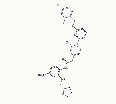 O=C(Cc1ccc(-c2cccc(OCc3ccc(Cl)cc3F)n2)c(Cl)c1)Nc1ccc(C(=O)O)cc1NCC1CCCO1